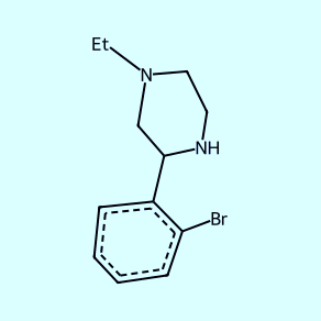 CCN1CCNC(c2ccccc2Br)C1